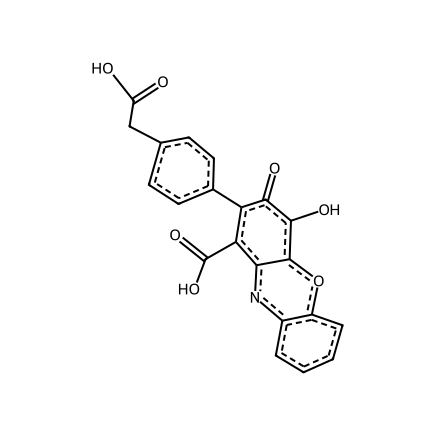 O=C(O)Cc1ccc(-c2c(C(=O)O)c3nc4ccccc4oc-3c(O)c2=O)cc1